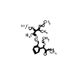 CNC(=O)/C(=N/OC)c1ccccc1CO/N=C(C)/C(=N\OC)C(/C)=N/OC